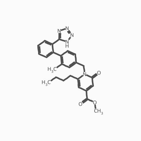 CCCCc1cc(C(=O)OC)cc(=O)n1Cc1ccc(-c2ccccc2-c2nnn[nH]2)c(C)c1